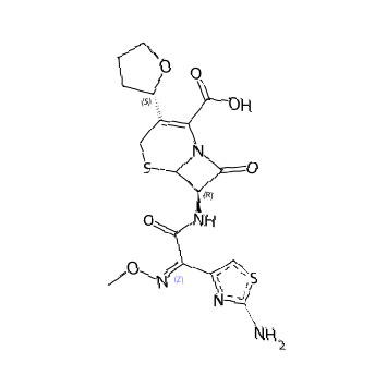 CO/N=C(\C(=O)N[C@@H]1C(=O)N2C(C(=O)O)=C([C@@H]3CCCO3)CSC12)c1csc(N)n1